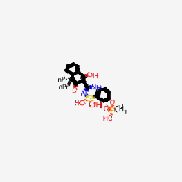 CCCC1(CCC)C(=O)C(C2=NS(O)(O)c3cc(OP(C)(=O)O)ccc3N2)=C(O)c2ccccc21